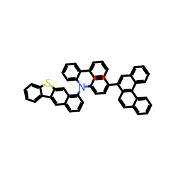 c1ccc(-c2ccccc2N(c2ccc(-c3cc4ccccc4c4c3ccc3ccccc34)cc2)c2cccc3cc4c(cc23)sc2ccccc24)cc1